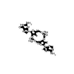 Nc1nc2c(ncn2[C@@H]2O[C@@H]3COP(=O)(O)COC4C(F)[C@H](n5cnc6c(N)ncnc65)O[C@@H]4COP(=O)(O)O[C@H]2C3F)c(=O)[nH]1